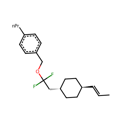 CC=C[C@H]1CC[C@H](CC(F)(F)OCc2ccc(CCC)cc2)CC1